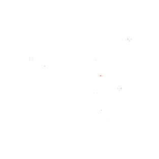 COCOc1ccc(C2OCC(C)(C)CO2)cc1C(O)(c1cccc(CCO[Si](C)(C)C(C)(C)C)c1)c1cc(C2OCC(C)(C)CO2)ccc1OCOC